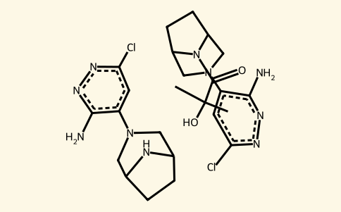 CC(C)(O)C(=O)N1C2CCC1CN(c1cc(Cl)nnc1N)C2.Nc1nnc(Cl)cc1N1CC2CCC(C1)N2